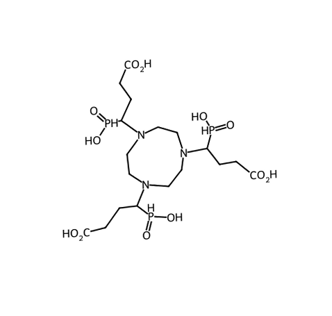 O=C(O)CCC(N1CCN(C(CCC(=O)O)[PH](=O)O)CCN(C(CCC(=O)O)[PH](=O)O)CC1)[PH](=O)O